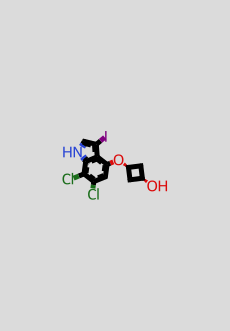 O[C@H]1C[C@@H](Oc2cc(Cl)c(Cl)c3[nH]cc(I)c23)C1